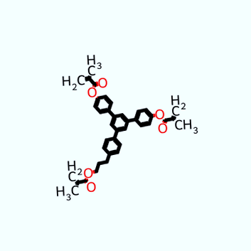 C=C(C)C(=O)OCCCc1ccc(-c2cc(-c3ccc(OC(=O)C(=C)C)cc3)cc(-c3ccc(OC(=O)C(=C)C)cc3)c2)cc1